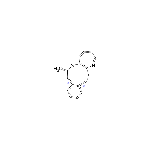 C=C1/C=c2/cccc/c2=C/CC2=C(C=C=CC=N2)S1